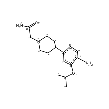 CC(C)Oc1cc(C2CCN(CC(N)=O)CC2)ccc1N